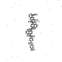 CCCc1ccc(OC(=O)c2ccc(NNc3ccc(NNc4ccc(NNc5cc6c(cc5C)N(CCC)CCC6)c5ccccc45)c4ccccc34)cc2)cc1